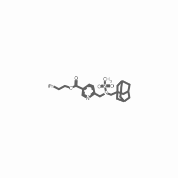 CC(C)CCOC(=O)c1ccc(CN(CC23CC4CC(CC(C4)C2)C3)S(C)(=O)=O)nc1